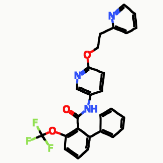 O=C(Nc1ccc(OCCc2ccccn2)nc1)c1c(OC(F)(F)F)cccc1-c1ccccc1